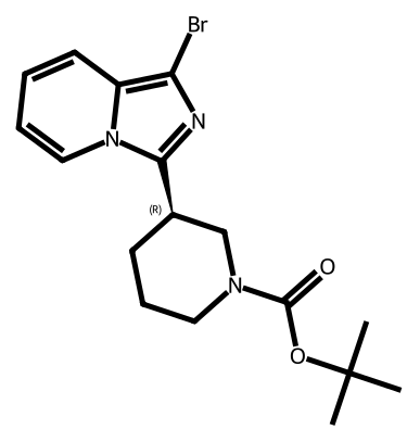 CC(C)(C)OC(=O)N1CCC[C@@H](c2nc(Br)c3ccccn23)C1